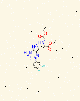 CCOC(=O)CNC(CC1=NN=C(N)/C1=N\Nc1ccc(F)c(F)c1)C(=O)OCC